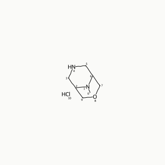 CN1C2CNCC1COC2.Cl